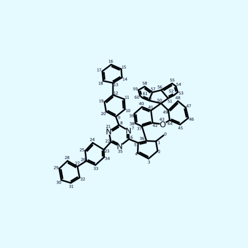 CC1CC=CC(c2nc(-c3ccc(-c4ccccc4)cc3)nc(-c3ccc(-c4ccccc4)cc3)n2)=C1c1cccc2c1Oc1ccccc1C21c2ccccc2-c2ccccc21